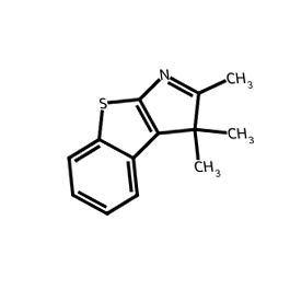 CC1=Nc2sc3ccccc3c2C1(C)C